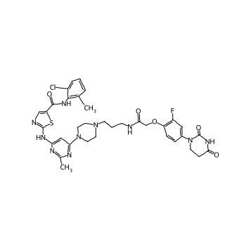 Cc1nc(Nc2ncc(C(=O)Nc3c(C)cccc3Cl)s2)cc(N2CCN(CCCNC(=O)COc3ccc(N4CCC(=O)NC4=O)cc3F)CC2)n1